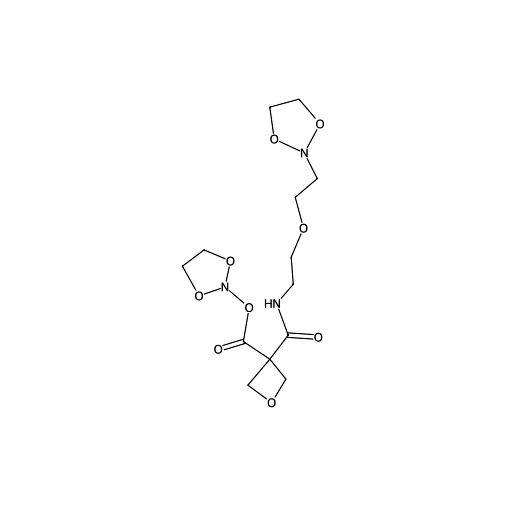 O=C(NCCOCCN1OCCO1)C1(C(=O)ON2OCCO2)COC1